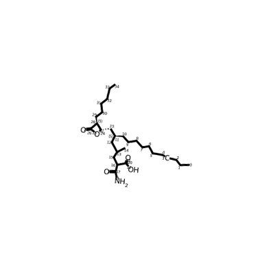 CCCCCCCCCCC[C@@H](CC(C)CC(C(N)=O)C(=O)O)C[C@@H]1OC(=O)[C@H]1CCCCCC